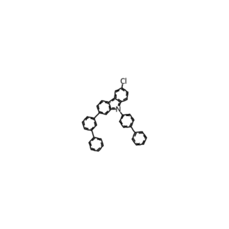 Clc1ccc2c(c1)c1ccc(-c3cccc(-c4ccccc4)c3)cc1n2-c1ccc(-c2ccccc2)cc1